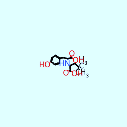 CC(C)CC(NC(Cc1ccc(O)cc1)C(=O)O)C(=O)O